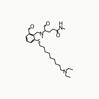 CCN(CC)CCCCCCCCCSc1cccc(C=O)c1CN(C)C(C=O)CCC(=O)NC